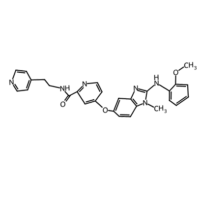 COc1ccccc1Nc1nc2cc(Oc3ccnc(C(=O)NCCc4ccncc4)c3)ccc2n1C